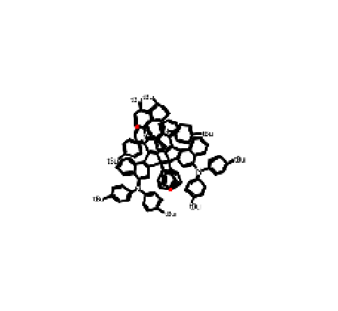 CC(C)(C)c1ccc(N(c2ccc(C(C)(C)C)cc2)c2cc3c(c4ccccc24)-c2c(cc(N(c4ccc(C(C)(C)C)cc4)c4ccc(C(C)(C)C)cc4)c4ccccc24)C3(c2ccccc2)C2(c3ccccc3)c3cc(N(c4ccc(C(C)(C)C)cc4)c4ccc(C(C)(C)C)cc4)c4ccccc4c3-c3c2cc(N(c2ccc(C(C)(C)C)cc2)c2ccc(C(C)(C)C)cc2)c2ccccc32)cc1